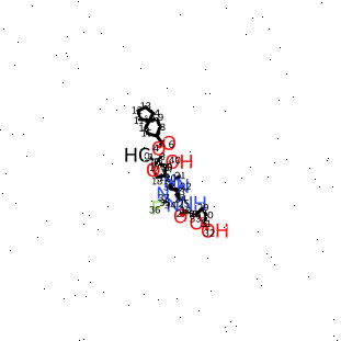 C#C[C@]1(COC(=O)C2CCC3(CCCC3)CC2)OCC(n2cnc3c(NC(=O)[C@H]4CCC(O)O4)nc(F)nc32)[C@@H]1O